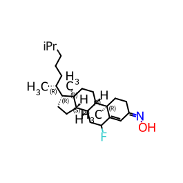 CC(C)CCC[C@@H](C)[C@H]1CC[C@H]2[C@@H]3CC(F)C4=CC(=NO)CC[C@]4(C)[C@H]3CC[C@]12C